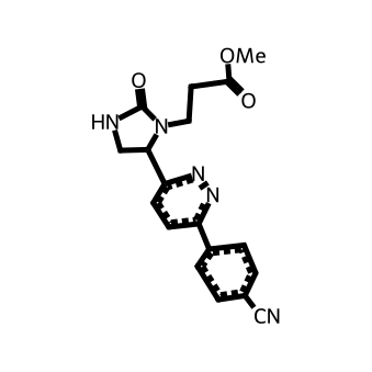 COC(=O)CCN1C(=O)NCC1c1ccc(-c2ccc(C#N)cc2)nn1